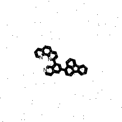 c1ccc2c(c1)-c1cccc3c(-c4cc(-c5ccc6ccc7cccnc7c6n5)c5cnccc5c4)ccc-2c13